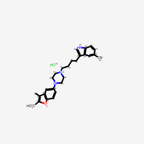 Cc1c(C(=O)O)oc2ccc(N3CCN(CCCCc4c[nH]c5ccc(C#N)cc45)CC3)cc12.Cl